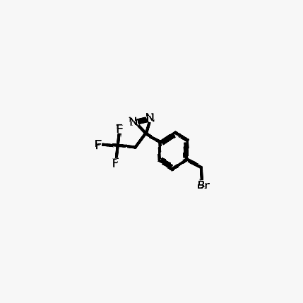 FC(F)(F)CC1(c2ccc(CBr)cc2)N=N1